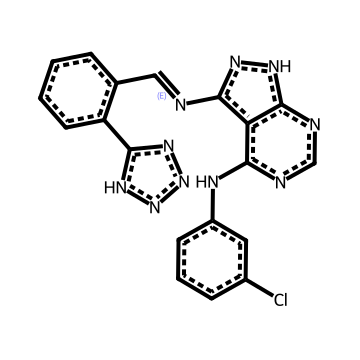 Clc1cccc(Nc2ncnc3[nH]nc(/N=C/c4ccccc4-c4nnn[nH]4)c23)c1